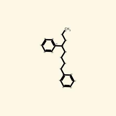 C[CH]CC(CCCCc1ccccc1)c1ccccc1